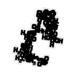 COc1cc2c(cc1OCCCC(=O)Nc1cc(C(=O)Nc3ccc(NC(=O)[C@H](C)NC(=O)[C@@H](NC(=O)CCCCCN4C(=O)C=CC4=O)C(C)C)cc3)n(C)c1)N(C(=O)OCc1ccc(O[C@@H]3O[C@H](CO)[C@@H](O)[C@H](O)[C@H]3O)c([N+](=O)[O-])c1)C(O)[C@@H]1CCCCN1C2=O